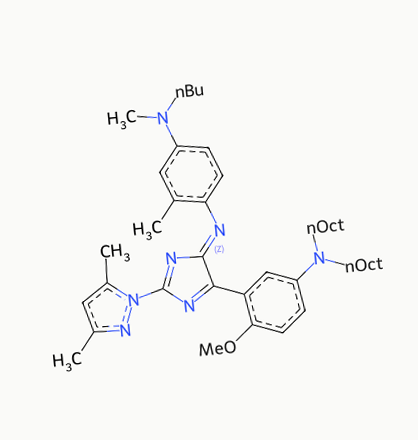 CCCCCCCCN(CCCCCCCC)c1ccc(OC)c(C2=NC(n3nc(C)cc3C)=N/C2=N\c2ccc(N(C)CCCC)cc2C)c1